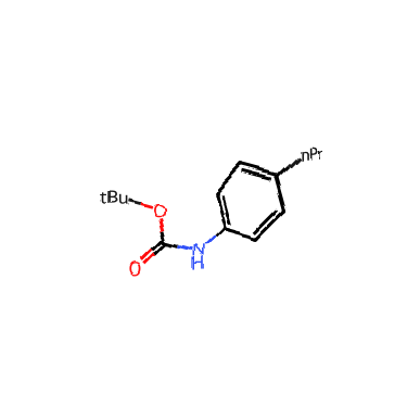 [CH2]CCc1ccc(NC(=O)OC(C)(C)C)cc1